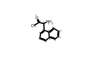 NC(C(=O)Cl)c1cccc2ccccc12